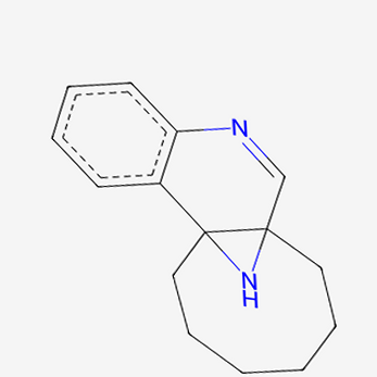 C1=Nc2ccccc2C23CCCCCCC12N3